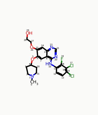 CN1CCC(Oc2cc3c(Nc4ccc(Cl)c(Cl)c4F)ncnc3cc2OCCO)CC1